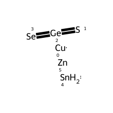 [Cu].[S]=[Ge]=[Se].[SnH2].[Zn]